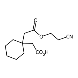 N#CCCOC(=O)CC1(CC(=O)O)CCCCC1